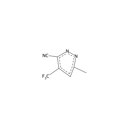 Cc1cc(C(F)(F)F)c(C#N)nn1